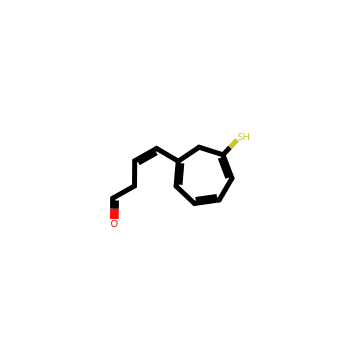 O=CC/C=C\C1=CC=CC=C(S)C1